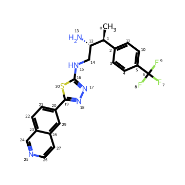 C[C@@H](c1ccc(C(F)(F)F)cc1)[C@@H](N)CNc1nnc(-c2ccc3cnccc3c2)s1